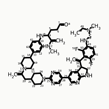 C=C(NC)C(CCC=O)Nc1ccc(C2CCN(C(=C)CC3CCN(c4ncc(-c5cnc6c(c5)C(C(=C)c5c(F)ccc(NSN(C)CC)c5F)CN6)cn4)CC3)CC2)cc1